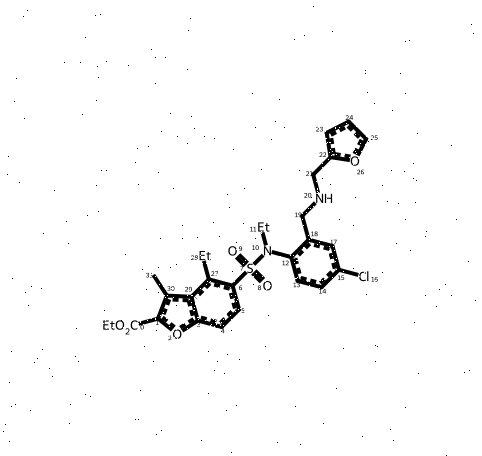 CCOC(=O)c1oc2ccc(S(=O)(=O)N(CC)c3ccc(Cl)cc3CNCc3ccco3)c(CC)c2c1C